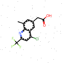 Cc1cc(CC(=O)O)cc2c(Cl)cc(C(F)(F)F)nc12